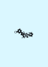 C[C@@H](Oc1nnc(-c2ccccn2)n1C)c1cc(-c2cccc(Cl)c2)on1